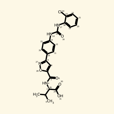 CC(C)[C@@H](NC(=O)c1cc(-c2ccc(NC(=O)Nc3ccccc3Cl)cc2)no1)C(=O)O